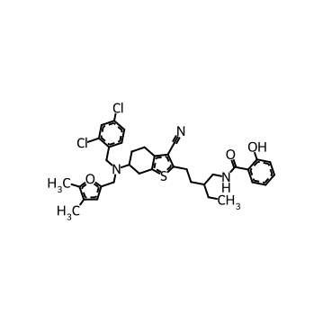 CCC(CCc1sc2c(c1C#N)CCC(N(Cc1cc(C)c(C)o1)Cc1ccc(Cl)cc1Cl)C2)CNC(=O)c1ccccc1O